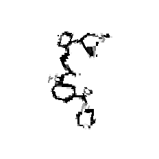 Cn1cc(-c2ccncc2C=CC(=O)Nc2cccc(C(=O)N3CCOCC3)c2)cn1